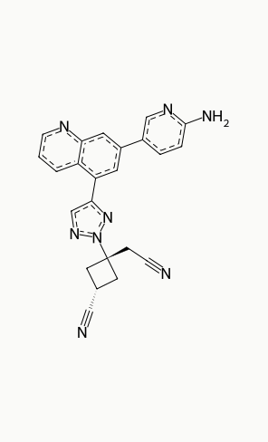 N#CC[C@]1(n2ncc(-c3cc(-c4ccc(N)nc4)cc4ncccc34)n2)C[C@@H](C#N)C1